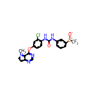 Cn1ccc2ncnc(Oc3ccc(NC(=O)Nc4cccc([S+]([O-])C(F)(F)F)c4)c(Cl)c3)c21